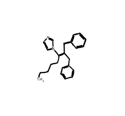 CCCCCC(C(Cc1ccccc1)Cc1ccccc1)n1ccnc1